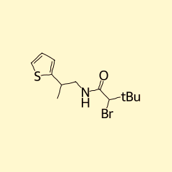 CC(CNC(=O)C(Br)C(C)(C)C)c1cccs1